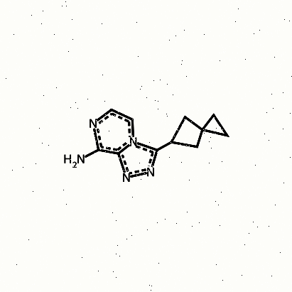 Nc1nccn2c(C3CC4(CC4)C3)nnc12